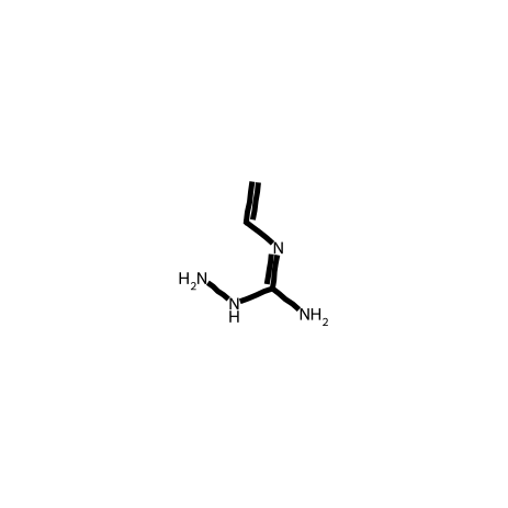 C=C/N=C(/N)NN